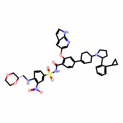 O=C(NS(=O)(=O)c1ccc(NC[C@H]2COCCO2)c([N+](=O)[O-])c1)c1ccc(C2=CCC(N3CCCC3c3ccccc3C3CC3)CC2)cc1Oc1cnc2[nH]ccc2c1